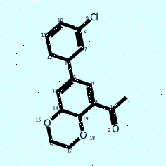 CC(=O)C1=CC(C2C=C(Cl)C=CC2)=CC2OCCOC12